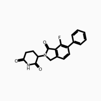 O=C1CCC(N2Cc3ccc(-c4ccccc4)c(F)c3C2=O)C(=O)N1